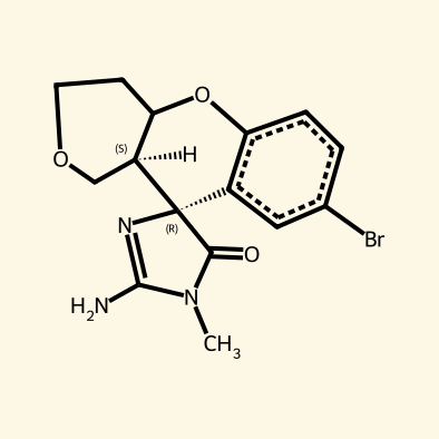 CN1C(=O)[C@]2(N=C1N)c1cc(Br)ccc1OC1CCOC[C@@H]12